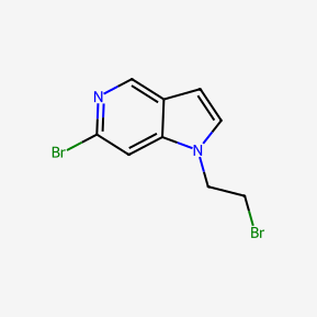 BrCCn1ccc2cnc(Br)cc21